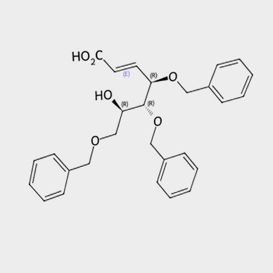 O=C(O)/C=C/[C@@H](OCc1ccccc1)[C@H](OCc1ccccc1)[C@H](O)COCc1ccccc1